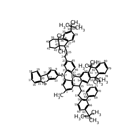 Cc1cc2c3c(c1)N(c1ccc4c(c1)sc1ccccc14)c1cc(CCC4c5ccc(C(C)(C)C)cc5C5(C)CCCCC45C)ccc1B3c1cc3c(cc1C2CCc1ccc(C(C)(C)C)cc1-c1ccccc1)C(C)(C)c1ccccc1C3(C)C